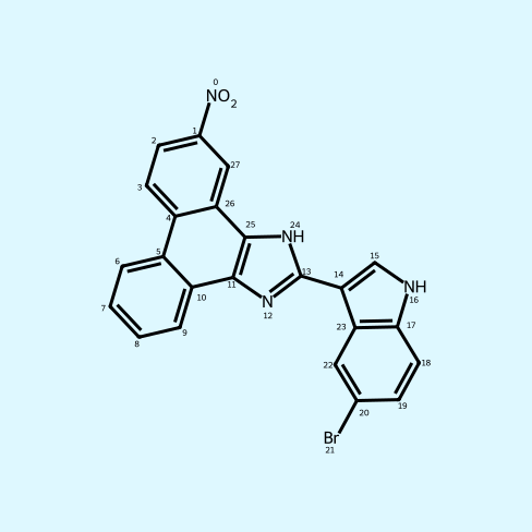 O=[N+]([O-])c1ccc2c3ccccc3c3nc(-c4c[nH]c5ccc(Br)cc45)[nH]c3c2c1